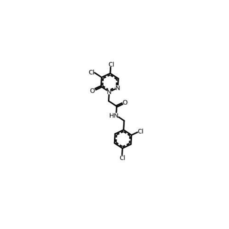 O=C(Cn1ncc(Cl)c(Cl)c1=O)NCc1ccc(Cl)cc1Cl